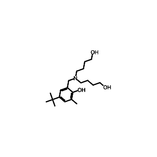 Cc1cc(C(C)(C)C)cc(CN(CCCCO)CCCCO)c1O